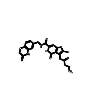 CCOC(=O)Cc1c(Br)sc2nc(C(=O)NCc3ccc4c(c3)NC(=O)CO4)[nH]c(=O)c12